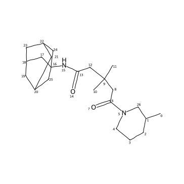 CC1CCCN(C(=O)CC(C)(C)CC(=O)NC23CC4CC(CC(C4)C2)C3)C1